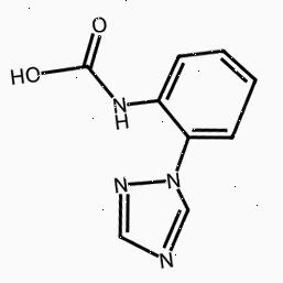 O=C(O)Nc1ccccc1-n1cncn1